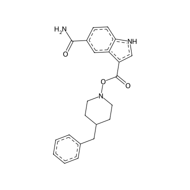 NC(=O)c1ccc2[nH]cc(C(=O)ON3CCC(Cc4ccccc4)CC3)c2c1